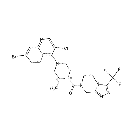 C[C@@H]1CN(c2c(Cl)cnc3cc(Br)ccc23)CC[C@@H]1C(=O)N1CCn2c(nnc2C(F)(F)F)C1